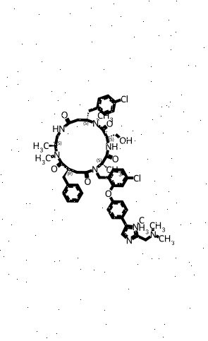 C[C@H]1CNC(=O)C[C@H](Cc2ccc(Cl)cc2)N(C)C(=O)[C@H](CO)NC(=O)[C@H](C)N(Cc2ccc(Cl)cc2Oc2ccc(-c3cnc(CN(C)C)n3C)cc2)C(=O)C[C@@H](Cc2ccccc2)C(=O)N1C